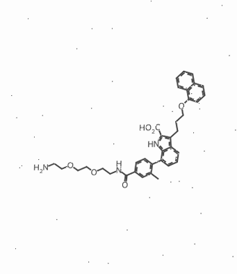 Cc1cc(C(=O)NCCOCCOCCN)ccc1-c1cccc2c(CCCOc3cccc4ccccc34)c(C(=O)O)[nH]c12